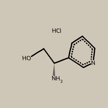 Cl.N[C@H](CO)c1cccnc1